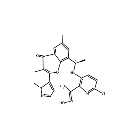 Cc1cc([C@@H](C)Nc2ccc(Cl)nc2/C(N)=N/O)c2oc(-c3ccnn3C)c(C)c(=O)c2c1